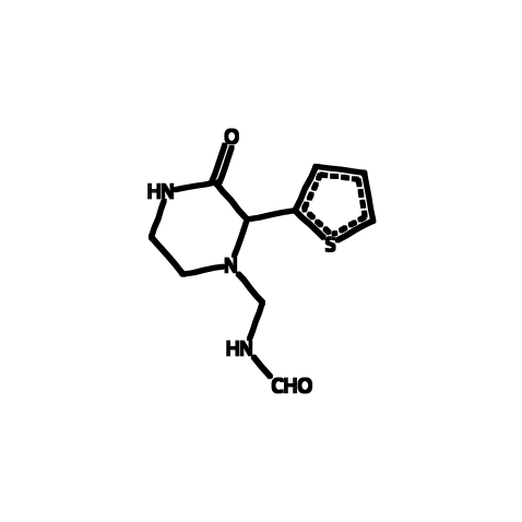 O=CNCN1CCNC(=O)C1c1cccs1